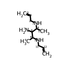 C=CCNC(C)C(N)C(C)NCC=C